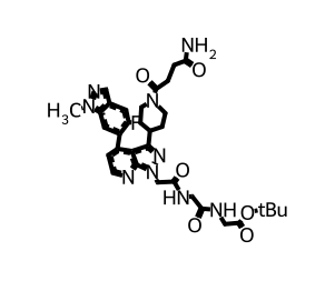 Cn1ncc2cc(F)c(-c3ccnc4c3c(C3CCN(C(=O)CCC(N)=O)CC3)nn4CC(=O)NCC(=O)NCC(=O)OC(C)(C)C)cc21